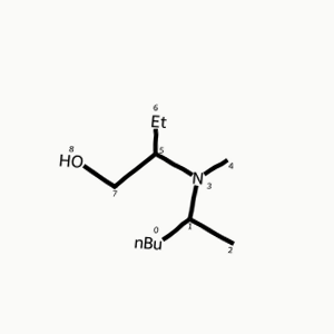 CCCCC(C)N(C)C(CC)CO